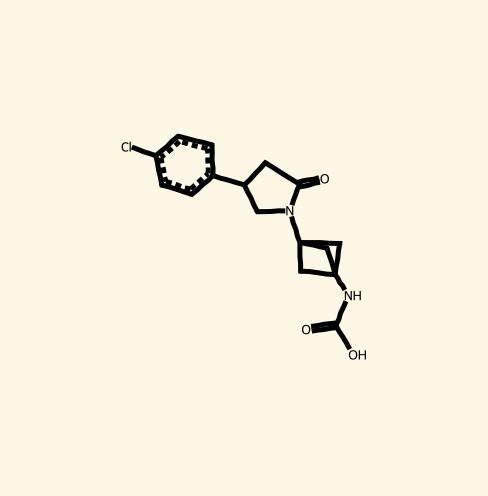 O=C(O)NC12CC(N3CC(c4ccc(Cl)cc4)CC3=O)(C1)C2